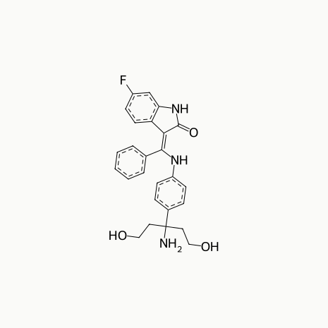 NC(CCO)(CCO)c1ccc(N/C(=C2\C(=O)Nc3cc(F)ccc32)c2ccccc2)cc1